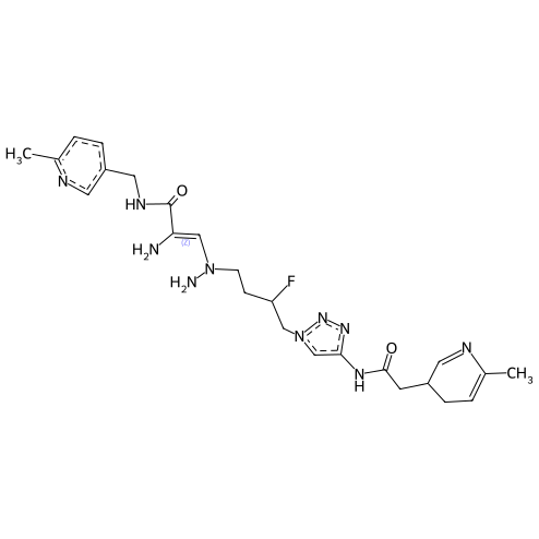 CC1=CCC(CC(=O)Nc2cn(CC(F)CCN(N)/C=C(\N)C(=O)NCc3ccc(C)nc3)nn2)C=N1